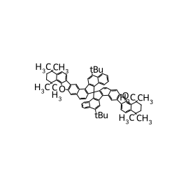 CC(C)(C)c1cc2c(c3ccccc13)C1(c3ccc4cc5oc6c7c(ccc6c5cc4c3-2)C(C)(C)CCC7(C)C)c2ccc3cc4oc5c6c(ccc5c4cc3c2-c2cc(C(C)(C)C)c3ccccc3c21)C(C)(C)CCC6(C)C